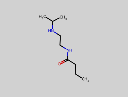 CCCC(=O)NCCNC(C)C